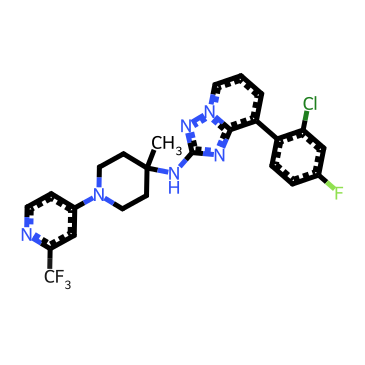 CC1(Nc2nc3c(-c4ccc(F)cc4Cl)cccn3n2)CCN(c2ccnc(C(F)(F)F)c2)CC1